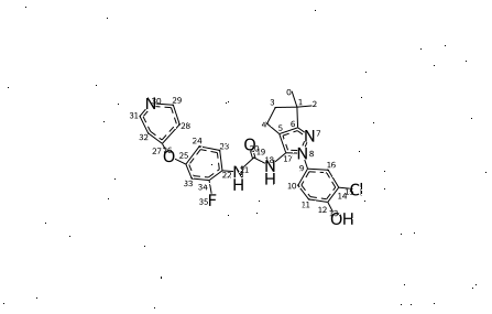 CC1(C)CCc2c1nn(-c1ccc(O)c(Cl)c1)c2NC(=O)Nc1ccc(Oc2ccncc2)cc1F